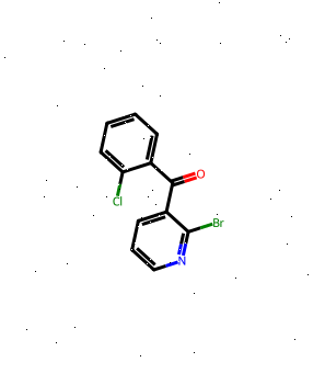 O=C(c1ccccc1Cl)c1cccnc1Br